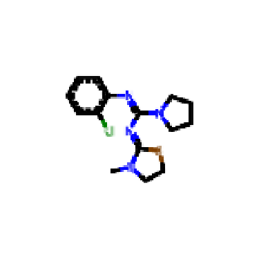 CN1CCSC1=NC(=Nc1ccccc1Cl)N1CCCC1